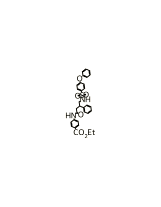 CCOC(=O)c1ccc(NC(=O)CC(CNS(=O)(=O)c2ccc(Oc3ccccc3)cc2)c2ccccc2)cc1